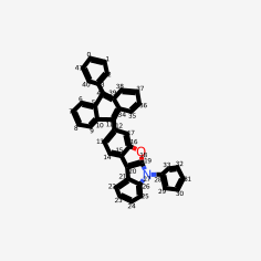 c1ccc(-c2c3ccccc3c(-c3ccc4c(c3)oc3c4c4ccccc4n3-c3ccccc3)c3ccccc23)cc1